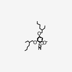 CCCCC(CC)COc1cc(OC)c([N+]#N)c(OCC(CC)CCCC)c1